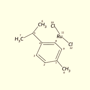 Cc1ccc(C(C)C)cc1.[Cl][Ru][Cl]